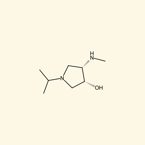 CN[C@H]1CN(C(C)C)C[C@H]1O